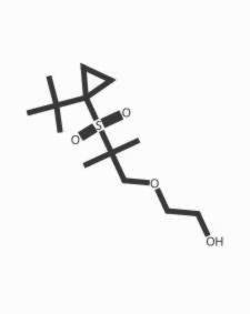 CC(C)(C)C1(S(=O)(=O)C(C)(C)COCCO)CC1